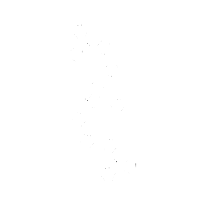 c1ccc(-c2cc(-c3cccc(-c4cccc(-c5cccc(-n6c7ccccc7c7ccccc76)c5)c4)c3)nc3ccc(-c4cccc(-c5cccc(-n6c7ccccc7c7ccccc76)c5)c4)cc23)cc1